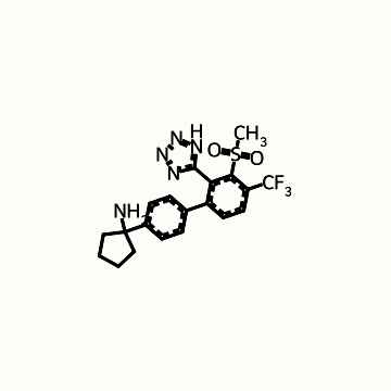 CS(=O)(=O)c1c(C(F)(F)F)ccc(-c2ccc(C3(N)CCCC3)cc2)c1-c1nnn[nH]1